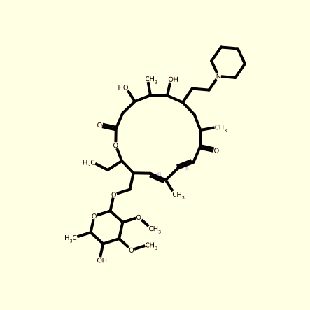 CCC1OC(=O)CC(O)C(C)C(O)C(CCN2CCCCC2)CC(C)C(=O)/C=C/C(C)=C/C1COC1OC(C)C(O)C(OC)C1OC